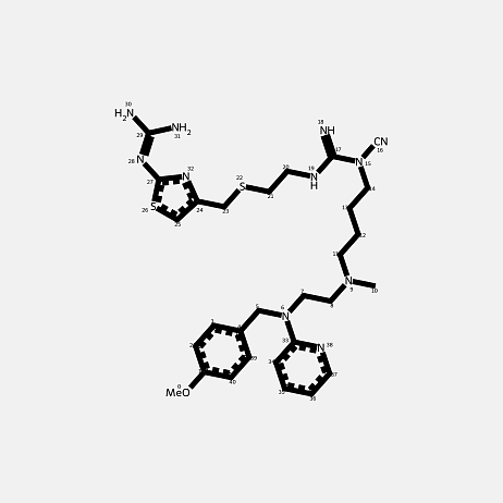 COc1ccc(CN(CCN(C)CCCCN(C#N)C(=N)NCCSCc2csc(N=C(N)N)n2)c2ccccn2)cc1